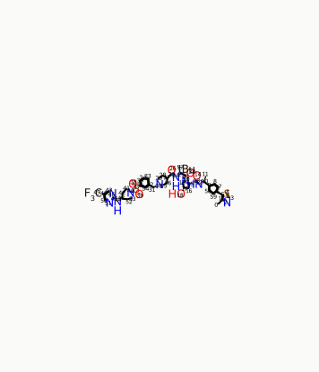 Cc1ncsc1-c1ccc([C@H](C)NC(=O)[C@@H]2C[C@@H](O)CN2C(=O)[C@H](NC(=O)C2CCN(Cc3cccc(S(=O)(=O)N4CCC(Nc5ncc(C(F)(F)F)cn5)CC4)c3)CC2)C(C)(C)C)cc1